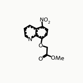 COC(=O)COc1ccc([N+](=O)[O-])c2cccnc12